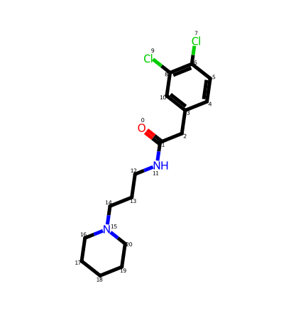 O=C(Cc1ccc(Cl)c(Cl)c1)NCCCN1CCCCC1